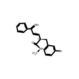 CNC(=O)[C@@H](/C=C/C(=N)c1ccccc1)Cc1cccc(Br)c1